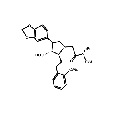 CCCCN(CCCC)C(=O)CN1C[C@H](c2ccc3c(c2)OCO3)[C@@H](C(=O)O)[C@@H]1CCc1ccccc1OC